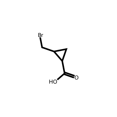 O=C(O)C1CC1CBr